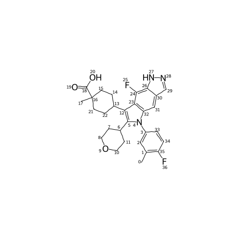 Cc1cc(-n2c(C3CCOCC3)c(C3CCC(C)(C(=O)O)CC3)c3c(F)c4[nH]ncc4cc32)ccc1F